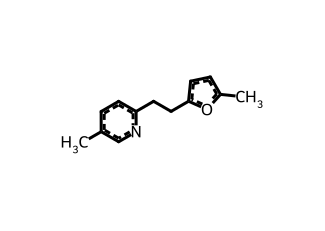 Cc1ccc(CCc2ccc(C)o2)nc1